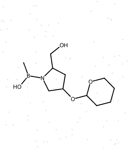 CB(O)N1CC(OC2CCCCO2)CC1CO